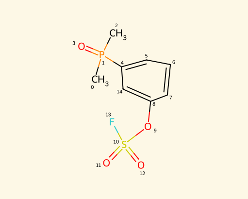 CP(C)(=O)c1cccc(OS(=O)(=O)F)c1